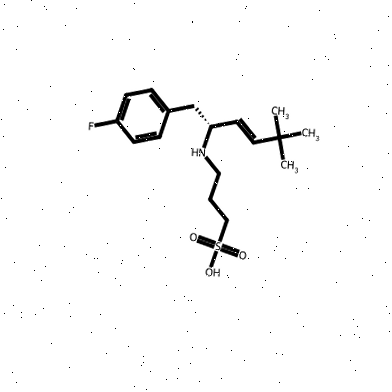 CC(C)(C)/C=C/[C@@H](Cc1ccc(F)cc1)NCCCS(=O)(=O)O